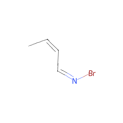 C/C=C\C=N/Br